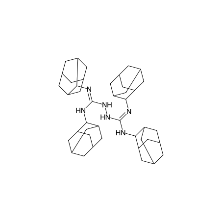 C1C2CC3CC1CC(C2)C3N=C(NNC(=NC1C2CC3CC(C2)CC1C3)NC1C2CC3CC(C2)CC1C3)NC1C2CC3CC(C2)CC1C3